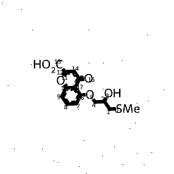 CSCC(O)COc1cccc2oc(C(=O)O)cc(=O)c12